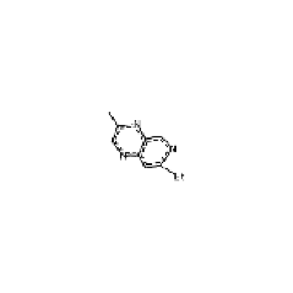 CCc1cc2ncc(C)nc2cn1